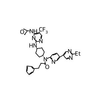 CCc1ncc(-c2ccc(N(C(=O)CCc3ccccc3)[C@H]3CC[C@H](Nc4ncc(C(F)(F)F)c(NC5COC5)n4)CC3)nc2)cn1